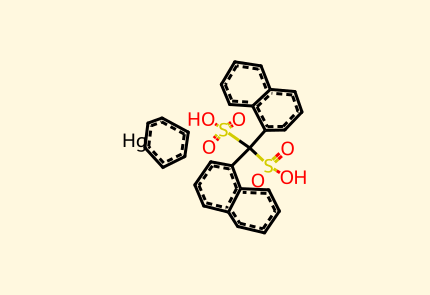 O=S(=O)(O)C(c1cccc2ccccc12)(c1cccc2ccccc12)S(=O)(=O)O.[Hg].c1ccccc1